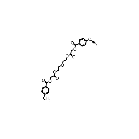 Cc1ccc(C(=O)OCC(=O)OCCOCCOC(=O)COC(=O)c2ccc(OC#N)cc2)cc1